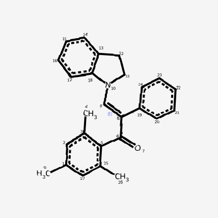 Cc1cc(C)c(C(=O)/C(=C/N2CCc3ccccc32)c2ccccc2)c(C)c1